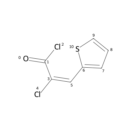 O=C(Cl)/C(Cl)=C\c1cccs1